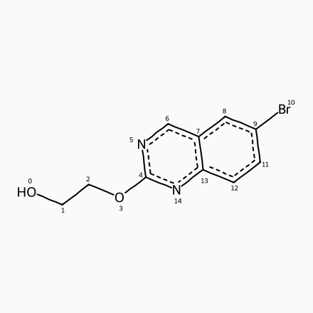 OCCOc1ncc2cc(Br)ccc2n1